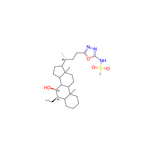 CC[C@@H]1C2CCCCC2(C)C2CCC3(C)C(CCC3[C@H](C)CCc3nnc(NS(C)(=O)=O)o3)C2[C@@H]1O